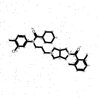 Cc1ccc(N(CCCN2CC3CN(C(=O)c4c(C)cccc4C)CC3C2)C(=O)C2CCCCC2)cc1Cl